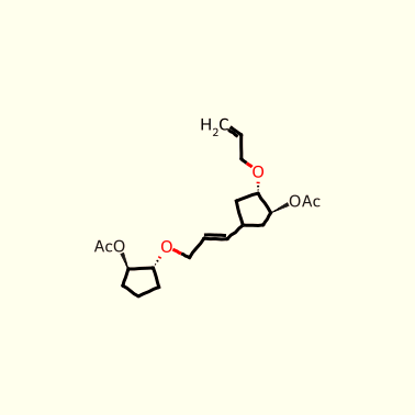 C=CCO[C@H]1CC(/C=C/CO[C@@H]2CCC[C@H]2OC(C)=O)C[C@@H]1OC(C)=O